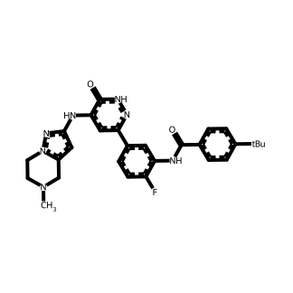 CN1CCn2nc(Nc3cc(-c4ccc(F)c(NC(=O)c5ccc(C(C)(C)C)cc5)c4)n[nH]c3=O)cc2C1